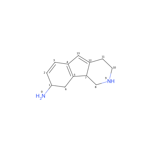 NC1C=CC2=C(C1)C1CNCCC1=C2